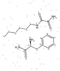 CCCCCCNC(=O)C(N)=O.NC(=O)[C@@H](N)Cc1ccccc1